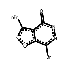 CCCc1noc2c(Br)n[nH]c(=O)c12